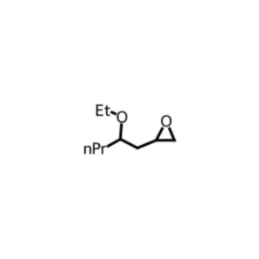 CCCC(CC1CO1)OCC